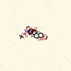 CN(C(=O)OC(C)(C)C)c1ccc([C@@]23O[C@@H]2[C@@]2(C)[C@@H](CCC24OCCO4)[C@@H]2CC[C@@]4(O)CC5(CC[C@]4(C)[C@H]23)OCCO5)cc1